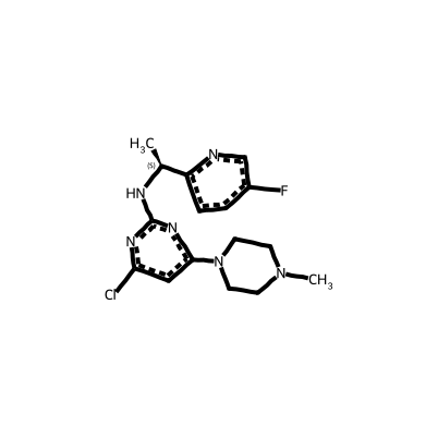 C[C@H](Nc1nc(Cl)cc(N2CCN(C)CC2)n1)c1ccc(F)cn1